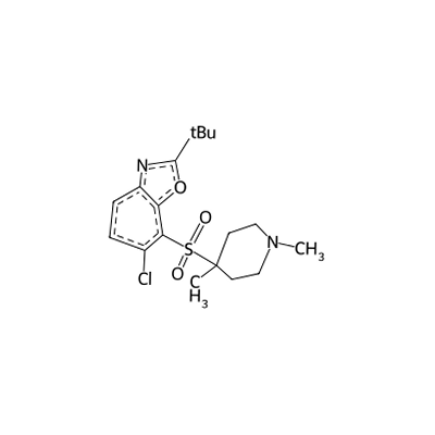 CN1CCC(C)(S(=O)(=O)c2c(Cl)ccc3nc(C(C)(C)C)oc23)CC1